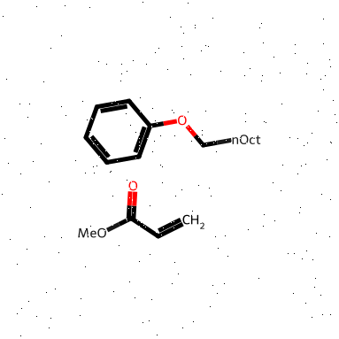 C=CC(=O)OC.CCCCCCCCCOc1ccccc1